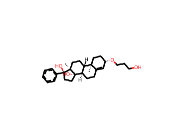 C[C@]12CC[C@H]3[C@@H](CCC4=C[C@@H](OCCCO)CC[C@@]43C)[C@@]1(O)CC[C@]2(O)c1ccccc1